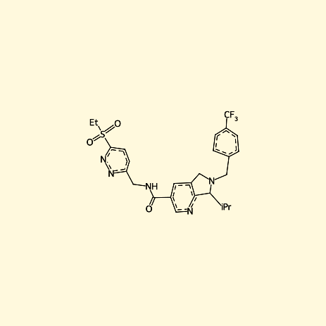 CCS(=O)(=O)c1ccc(CNC(=O)c2cnc3c(c2)CN(Cc2ccc(C(F)(F)F)cc2)C3C(C)C)nn1